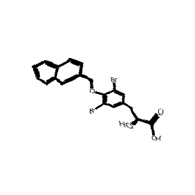 O=C(O)C(O)Cc1cc(Br)c(OCc2ccc3ccccc3c2)c(Br)c1